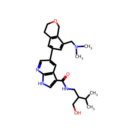 CC(C)C(CO)CNC(=O)c1c[nH]c2ncc(-c3cc4c(c(CN(C)C)c3)COCC4)cc12